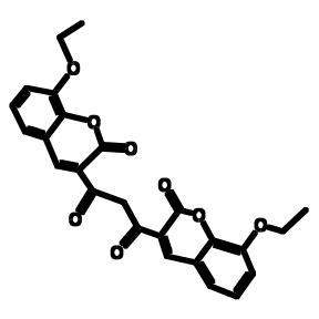 CCOc1cccc2cc(C(=O)CC(=O)c3cc4cccc(OCC)c4oc3=O)c(=O)oc12